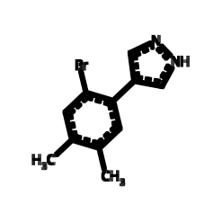 Cc1cc(Br)c(-c2cn[nH]c2)cc1C